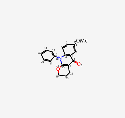 COc1ccc2c(c1)c(=O)c1c(n2-c2ccccc2)OCCC1